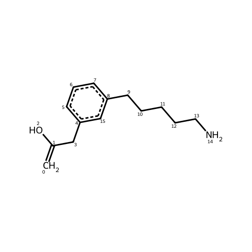 C=C(O)Cc1cccc(CCCCCN)c1